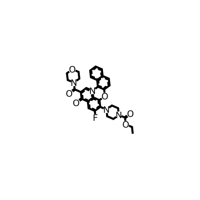 CCOC(=O)N1CCN(c2c(F)cc3c(=O)c(C(=O)N4CCOCC4)cn4c3c2Oc2ccc3ccccc3c2-4)CC1